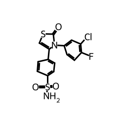 NS(=O)(=O)c1ccc(-c2csc(=O)n2-c2ccc(F)c(Cl)c2)cc1